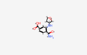 NC(=O)c1ccc(C(=O)O)cc1N[C@H]1CCOC1